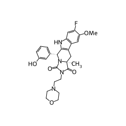 COc1cc2c3c([nH]c2cc1F)[C@@H](c1cccc(O)c1)N1C(=O)N(CCN2CCOCC2)C(=O)[C@]1(C)C3